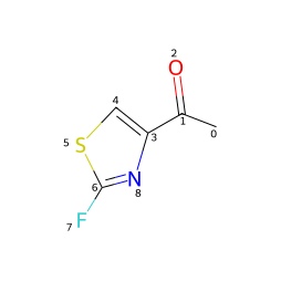 CC(=O)c1csc(F)n1